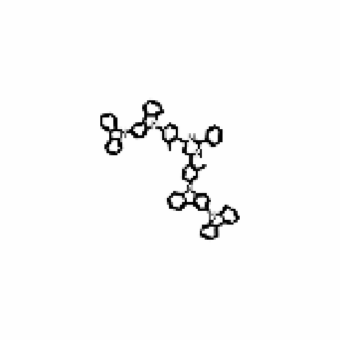 Cc1cc(-n2c3ccccc3c3cc(-n4c5ccccc5c5ccccc54)ccc32)ccc1-c1cc(-c2ccc(-n3c4ccccc4c4cc(-n5c6ccccc6c6ccccc65)ccc43)cc2C)nc(-c2ccccc2)n1